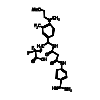 COCCN(C)c1ccc(C(C)NC(=O)CC(=O)Nc2ccc(C(=N)N)cc2)cc1C(F)(F)F.O=C(O)C(F)(F)F